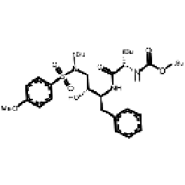 CCCCN(C[C@@H](O)[C@H](Cc1ccccc1)NC(=O)[C@@H](NC(=O)OC(C)(C)C)[C@@H](C)CC)S(=O)(=O)c1ccc(OC)cc1